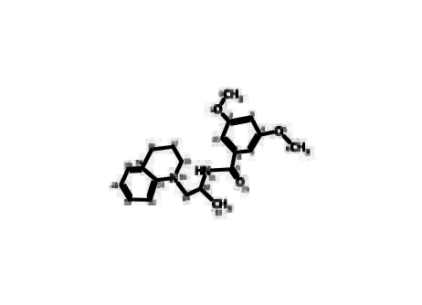 COc1cc(OC)cc(C(=O)NC(C)CN2CCCc3ccccc32)c1